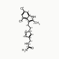 Cc1[nH]c2cc(Cl)cc(Cl)c2c1CCn1cc(CNC(N)=O)nn1